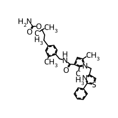 Cc1cc(CCC(C)(C)OC(N)=O)ccc1CNC(=O)c1cc(C)n(Cc2csc(-c3ccccc3)n2)c1C